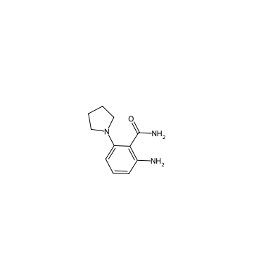 NC(=O)c1c(N)cccc1N1CCCC1